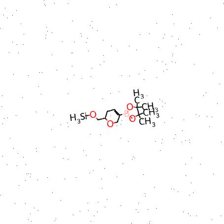 CC1(C)OB(C2=CCC(CO[SiH3])OC2)OC1(C)C